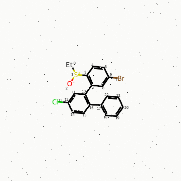 CC[S+]([O-])c1ccc(Br)cc1-c1cc(Cl)ccc1-c1ccccc1